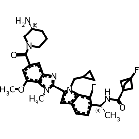 COc1cc(C(=O)N2CCC[C@@H](N)C2)cc2nc(-c3cc4ccc([C@@H](C)NC(=O)C56CC(F)(C5)C6)c(F)c4n3CC3CC3)n(C)c12